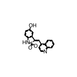 O=S1(=O)Nc2ccc(O)cc2C1=Cc1ccnc2ccccc12